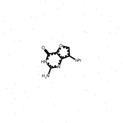 CCCc1coc2c(=O)[nH]c(N)nc12